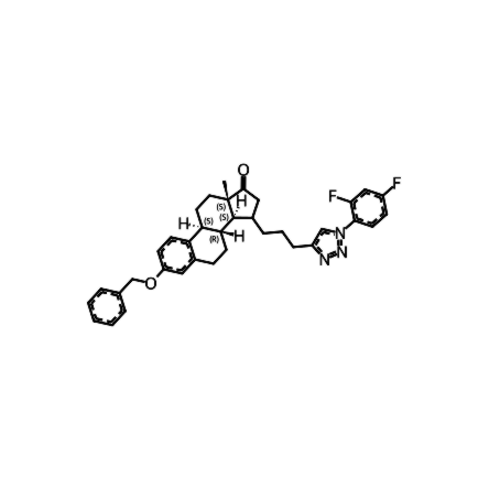 C[C@]12CC[C@@H]3c4ccc(OCc5ccccc5)cc4CC[C@H]3[C@@H]1C(CCCc1cn(-c3ccc(F)cc3F)nn1)CC2=O